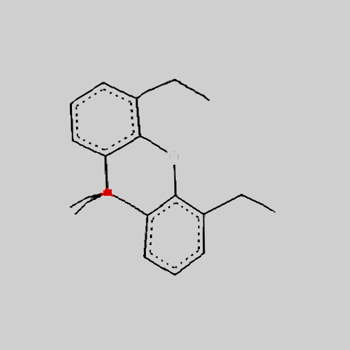 CCc1cccc(CC)c1Oc1c(CC)cccc1CC